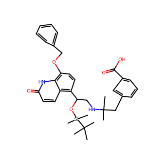 CC(C)(Cc1cccc(C(=O)O)c1)NCC(O[Si](C)(C)C(C)(C)C)c1ccc(OCc2ccccc2)c2[nH]c(=O)ccc12